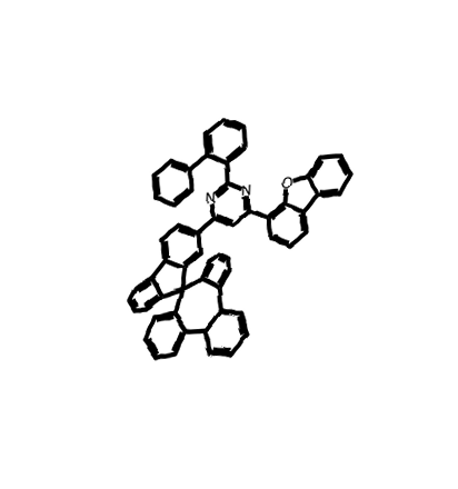 C1=CC2c3ccccc3C3(c4ccccc4-c4ccc(-c5cc(-c6cccc7c6oc6ccccc67)nc(-c6ccccc6-c6ccccc6)n5)cc43)c3ccccc3C2C=C1